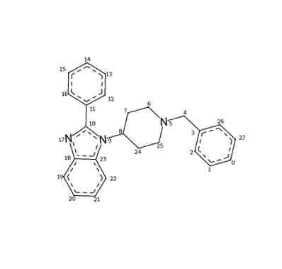 c1ccc(CN2CCC(n3c(-c4ccccc4)nc4ccccc43)CC2)cc1